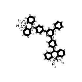 C[Si]1(C)c2ccccc2C(c2ccc(-c3cc(-c4ccccc4)cc(-c4ccc(N5c6ccccc6[Si](C)(C)c6ccccc65)cc4)n3)cc2)c2ccccc21